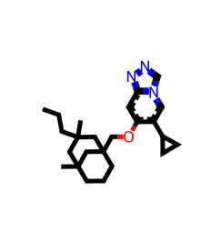 CCCC1(C)CC2(C)CCCC(COc3cc4nncn4cc3C3CC3)(C1)C2